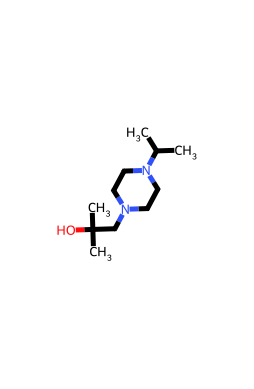 CC(C)N1CCN(CC(C)(C)O)CC1